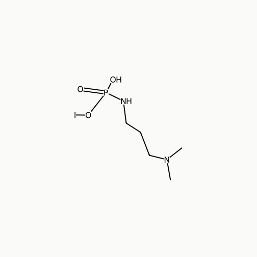 CN(C)CCCNP(=O)(O)OI